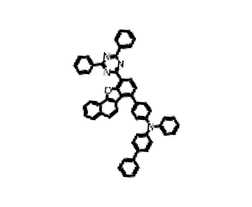 c1ccc(-c2ccc(N(c3ccccc3)c3ccc(-c4ccc(-c5nc(-c6ccccc6)nc(-c6ccccc6)n5)c5oc6c7ccccc7ccc6c45)cc3)cc2)cc1